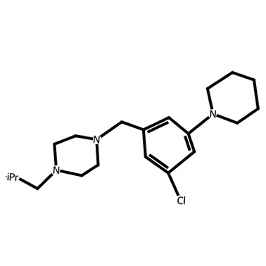 C[C](C)CN1CCN(Cc2cc(Cl)cc(N3CCCCC3)c2)CC1